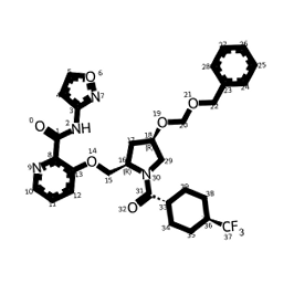 O=C(Nc1ccon1)c1ncccc1OC[C@H]1C[C@@H](OCOCc2ccccc2)CN1C(=O)[C@H]1CC[C@H](C(F)(F)F)CC1